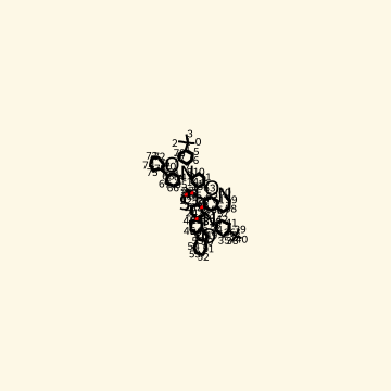 CC(C)(C)c1ccc(N(c2ccc3c(c2)C2(c4ccccc4Sc4ccccc42)c2cc(N(c4ccc(C(C)(C)C)cc4)c4cccc5c4oc4ccccc45)c4cccnc4c2O3)c2cccc3c2oc2ccccc23)cc1